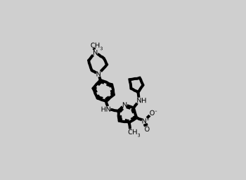 Cc1cc(Nc2ccc(N3CCN(C)CC3)cc2)nc(NC2CCCC2)c1[N+](=O)[O-]